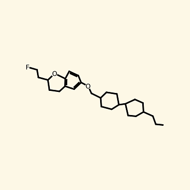 CCCC1CCC(C2CCC(COc3ccc4c(c3)CCC(CCF)O4)CC2)CC1